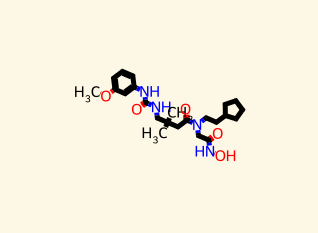 COc1cccc(NC(=O)NCC(C)(C)CC(=O)N(CCC2CCCC2)CC(=O)NO)c1